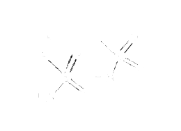 NS(=O)(=O)F.NS(=O)(=O)F.[KH]